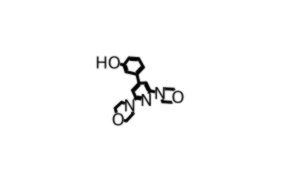 Oc1cccc(-c2cc(N3CCOCC3)nc(N3CCOCC3)c2)c1